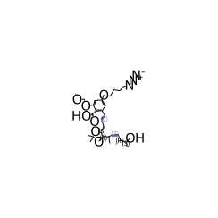 COCOc1cc(OCCCCN=[N+]=[N-])cc(/C=C/C[C@@H]2OC(C)(C)O[C@@H]2C(C)/C=C\[C@@H](C)[C@H](C)O)c1C(=O)O